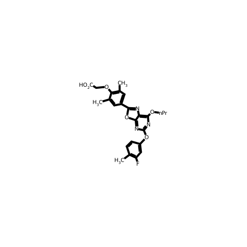 CCCOc1nc(Oc2ccc(C)c(F)c2)nc2oc(-c3cc(C)c(OCC(=O)O)c(C)c3)nc12